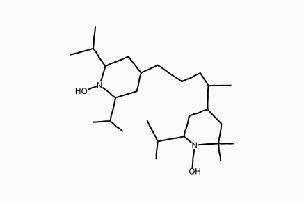 CC(C)C1CC(CCCC(C)C2CC(C(C)C)N(O)C(C)(C)C2)CC(C(C)C)N1O